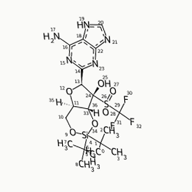 CC(C)(C)[Si]1(C(C)(C)C)OC[C@H]2O[C@@H](c3nc(N)c4[nH]cnc4n3)[C@](O)(S(=O)(=O)C(F)(F)F)[C@@H]2O1